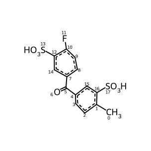 Cc1ccc(C(=O)c2ccc(F)c(S(=O)(=O)O)c2)cc1S(=O)(=O)O